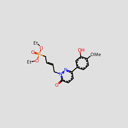 CCOP(=O)(C/C=C/Cn1nc(-c2ccc(OC)c(O)c2)ccc1=O)OCC